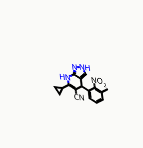 Cc1cccc(C2C(C#N)=C(C3CC3)Nc3n[nH]cc32)c1[N+](=O)[O-]